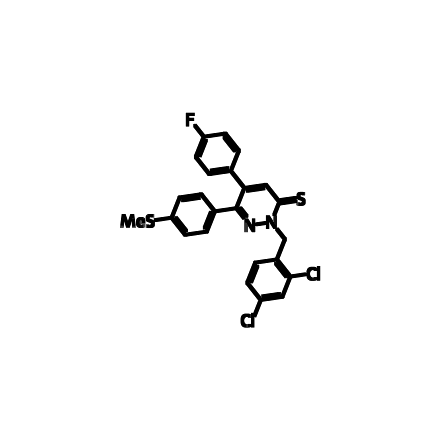 CSc1ccc(-c2nn(Cc3ccc(Cl)cc3Cl)c(=S)cc2-c2ccc(F)cc2)cc1